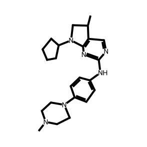 CC1CN(C2CCCC2)c2nc(Nc3ccc(N4CCN(C)CC4)cc3)ncc21